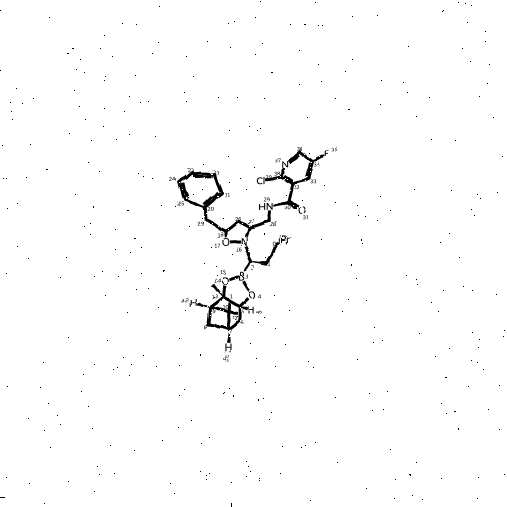 CC(C)C[C@@H](B1O[C@@H]2C[C@@H]3C[C@@H](C3(C)C)[C@]2(C)O1)N1OC(Cc2ccccc2)CC1CNC(=O)c1cc(F)cnc1Cl